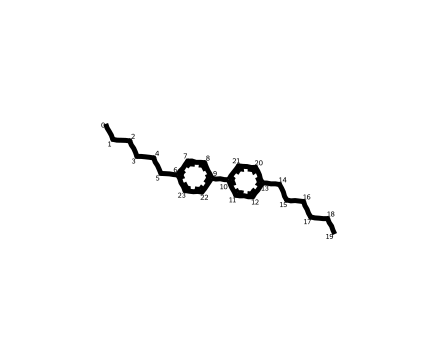 CCCCCCc1ccc(-c2ccc(CCCCCC)cc2)cc1